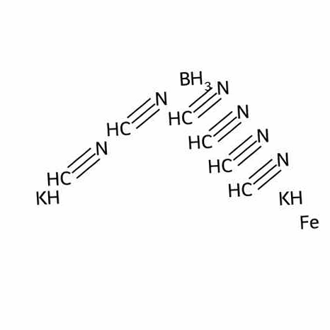 B.C#N.C#N.C#N.C#N.C#N.C#N.[Fe].[KH].[KH]